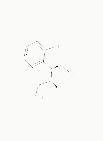 CC(C)[C@@H](NS(=O)(=O)O)[C@H](NS(=O)(=O)O)c1ccccc1Cl